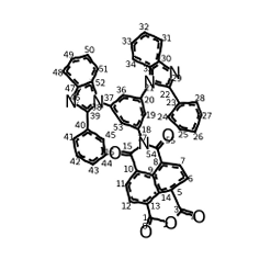 O=C1OC(=O)c2ccc3c4c(ccc1c24)C(=O)N(c1cc(-n2c(-c4ccccc4)nc4ccccc42)cc(-n2c(-c4ccccc4)nc4ccccc42)c1)C3=O